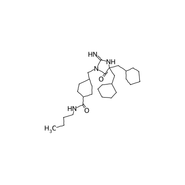 CCCCNC(=O)C1CCC(CN2C(=N)NC(CC3CCCCC3)(CC3CCCCC3)C2=O)CC1